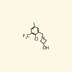 Cc1cc(CN2CC(O)C2)c(Cl)c(C(F)(F)F)c1